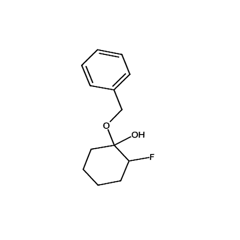 OC1(OCc2ccccc2)CCCCC1F